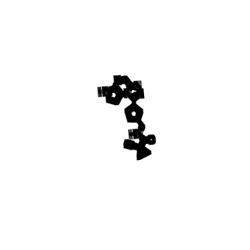 C#CC1(C(=O)NC[C@H]2CC[C@@H](c3nnc4cnc5c(n34)CCN5)C2)CC1